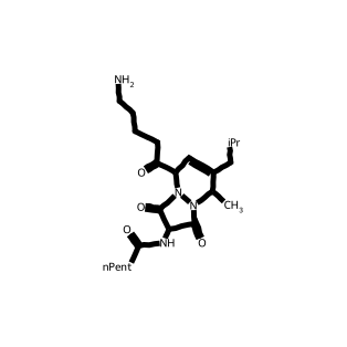 CCCCCC(=O)NC1C(=O)N2C(C)C(CC(C)C)=CC(C(=O)CCCCN)N2C1=O